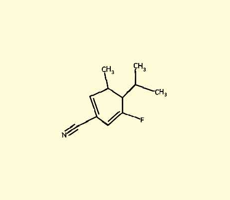 CC(C)C1C(F)=CC(C#N)=CC1C